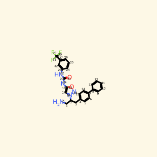 NCC(Cc1ccc(-c2ccccc2)cc1)[n+]1cc([N-]C(=O)Nc2cccc(C(F)(F)F)c2)on1